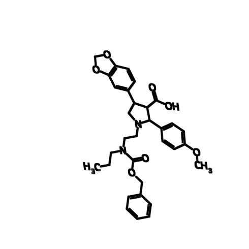 CCCN(CCN1CC(c2ccc3c(c2)OCO3)C(C(=O)O)C1c1ccc(OC)cc1)C(=O)OCc1ccccc1